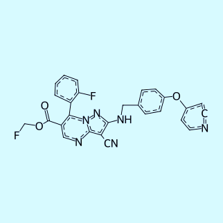 N#Cc1c(NCc2ccc(Oc3ccncc3)cc2)nn2c(-c3ccccc3F)c(C(=O)OCF)cnc12